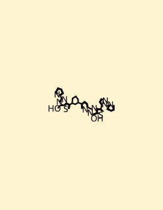 Oc1nc(-c2ccc(C3CCCC(c4csc5c(O)nc(-c6ccccn6)nc45)C3)cn2)nc2c(-c3ccnn3-c3ccccn3)csc12